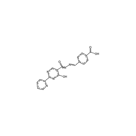 O=C(O)c1ccc(C=NNC(=O)c2cnc(-c3ccccn3)nc2O)cc1